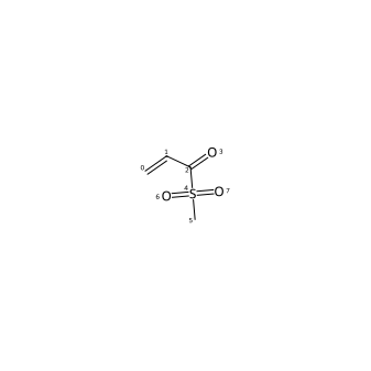 C=CC(=O)S(C)(=O)=O